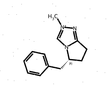 C[n+]1cn2c(n1)CC[C@@H]2Cc1ccccc1